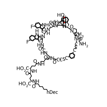 CCCCCCCCCCCCCCCC(=O)N[C@@H](CCC(=O)N[C@@H](CCC(=O)NCCCC[C@@H]1NC(=O)CCSCc2cccc(c2)CSC[C@@H](C(N)=O)NC(=O)[C@]2(C)CCCN2C(=O)[C@H](Cc2ccc(O)cc2)NC(=O)[C@H](Cc2cnc[nH]2)NC(=O)[C@H](CC(=O)O)NC(=O)[C@H](Cc2c[nH]c3ccc(F)cc23)NC(=O)[C@H](Cc2c[nH]c3ccc(F)cc23)NC(=O)CNC1=O)C(=O)O)C(=O)O